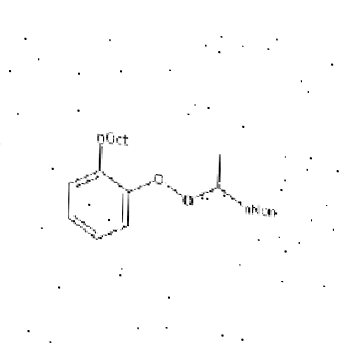 CCCCCCCCCC(C)OOc1ccccc1CCCCCCCC